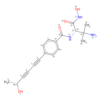 C[C@@H](O)C#CC#Cc1ccc(C(=O)N[C@H](C(=O)NO)C(C)(C)N)cc1